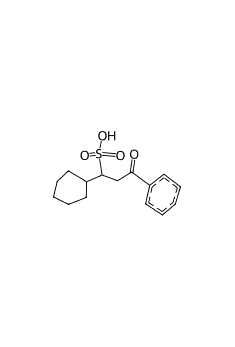 O=C(CC(C1CCCCC1)S(=O)(=O)O)c1ccccc1